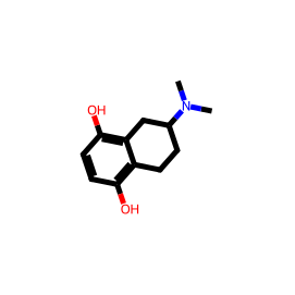 CN(C)C1CCc2c(O)ccc(O)c2C1